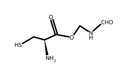 N[C@@H](CS)C(=O)OCNC=O